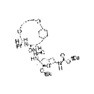 CC(C)[C@H]1COCCCCOc2ccc(cc2)C[C@@H](NC(=O)N[C@@](C)(C[C@H]2C[C@H](NC(=O)OC(C)(C)C)C2)C(=O)OC(C)(C)C)C(=O)N1